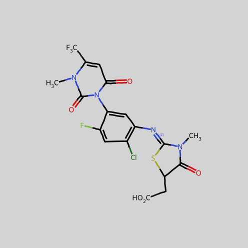 CN1C(=O)C(CC(=O)O)S/C1=N\c1cc(-n2c(=O)cc(C(F)(F)F)n(C)c2=O)c(F)cc1Cl